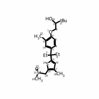 CCC(CC)(c1ccc(OCC(O)C(C)(C)C)c(C)c1)c1cc(C)c(C[S+](C)[O-])s1